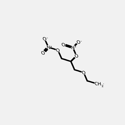 [CH2]COCC(CO[N+](=O)[O-])O[N+](=O)[O-]